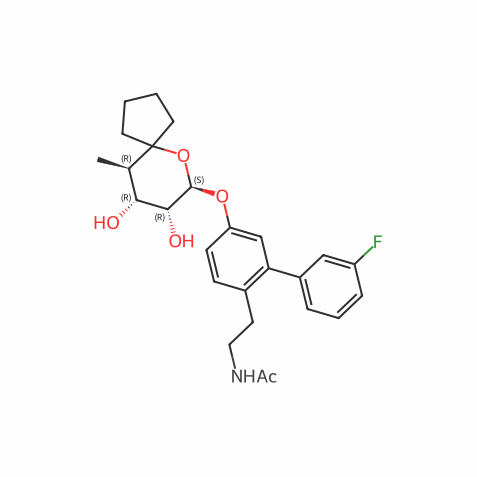 CC(=O)NCCc1ccc(O[C@@H]2OC3(CCCC3)[C@H](C)[C@@H](O)[C@H]2O)cc1-c1cccc(F)c1